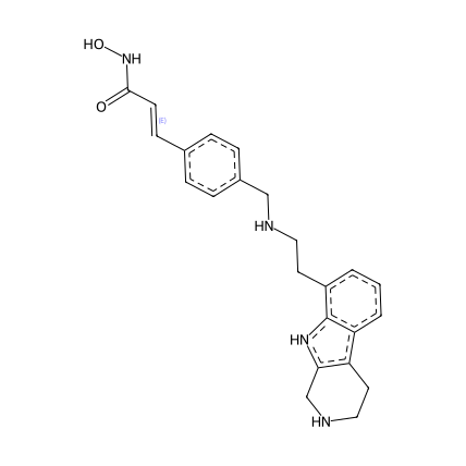 O=C(/C=C/c1ccc(CNCCc2cccc3c4c([nH]c23)CNCC4)cc1)NO